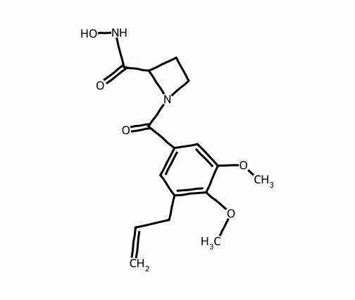 C=CCc1cc(C(=O)N2CCC2C(=O)NO)cc(OC)c1OC